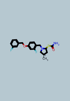 C[C@H]1CC(SC(N)=O)N(Cc2ccc(OCc3cccc(F)c3)cc2F)C1